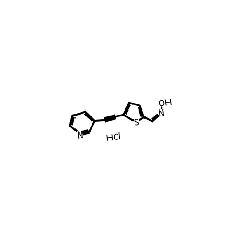 Cl.O/N=C\c1ccc(C#Cc2cccnc2)s1